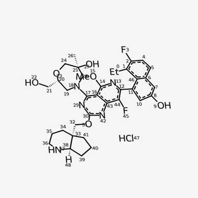 CCc1c(F)ccc2cc(O)cc(-c3nc(OC)c4c(N5C[C@H](CO)OC[C@@](C)(O)C5)nc(OC[C@@]56CCCN[C@@H]5CCC6)nc4c3F)c12.Cl